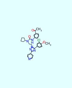 COc1ccc(-c2nc(-c3ccncc3)nn2CCN(C(=O)Nc2cccc(C(C)=O)c2)C2CCCC2)cc1Cl